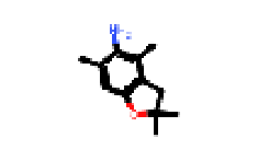 Cc1cc2c(c(C)c1N)CC(C)(C)O2